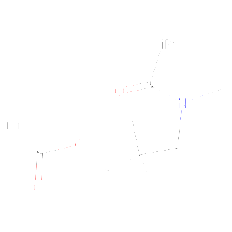 CC(C)C(=O)OCC(C)(C)CN(C)C(=O)C(C)C